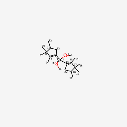 CO[Si](OC)(C1=C(C)C(C)(C)C(C)C1)C1=C(C)C(C)(C)C(C)C1